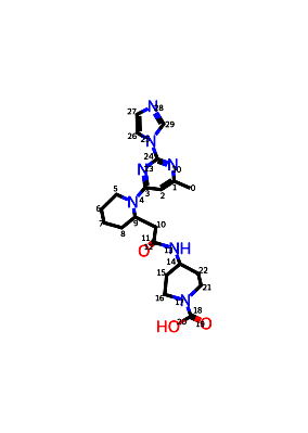 Cc1cc(N2CCCCC2CC(=O)NC2CCN(C(=O)O)CC2)nc(-n2ccnc2)n1